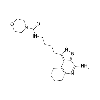 Cn1nc2c(N)nc3c(c2c1CCCCNC(=O)N1CCOCC1)CCCC3